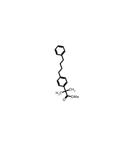 COC(=O)C(C)(C)c1ccc(CCCCc2ccccc2)cc1